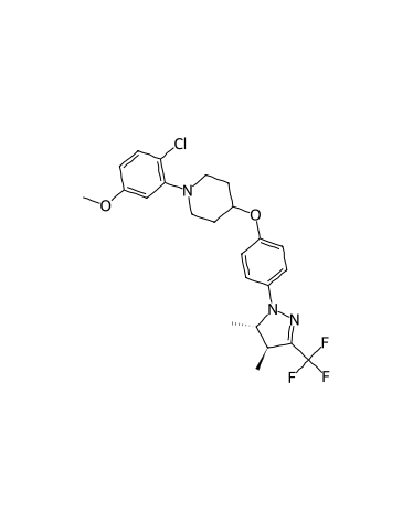 COc1ccc(Cl)c(N2CCC(Oc3ccc(N4N=C(C(F)(F)F)[C@@H](C)[C@@H]4C)cc3)CC2)c1